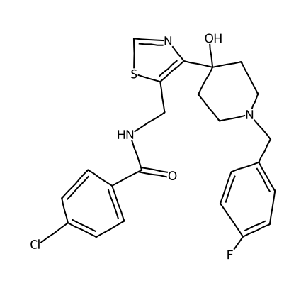 O=C(NCc1scnc1C1(O)CCN(Cc2ccc(F)cc2)CC1)c1ccc(Cl)cc1